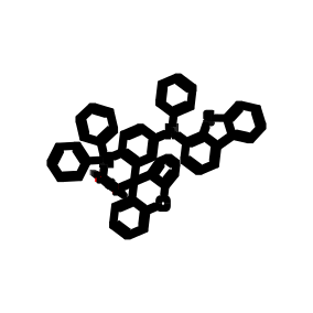 c1ccc(N(c2ccc3c(c2)C2(c4ccccc4Oc4ccccc42)c2ccccc2[Si]3(c2ccccc2)c2ccccc2)c2cccc3c2sc2ccccc23)cc1